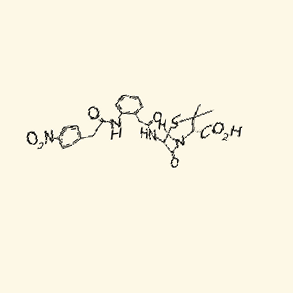 CC1(C)S[C@@H]2C(NC(=O)Cc3ccccc3NC(=O)Cc3ccc([N+](=O)[O-])cc3)C(=O)N2[C@H]1C(=O)O